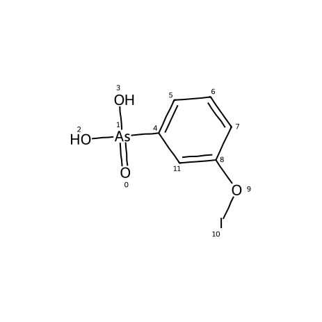 O=[As](O)(O)c1cccc(OI)c1